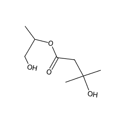 CC(CO)OC(=O)CC(C)(C)O